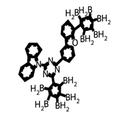 Bc1c(B)c(B)c(-c2nc(-c3ccc4oc5c(-c6c(B)c(B)c(B)c(B)c6B)cccc5c4c3)nc(-n3c4ccccc4c4ccccc43)n2)c(B)c1B